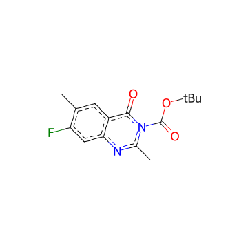 Cc1cc2c(=O)n(C(=O)OC(C)(C)C)c(C)nc2cc1F